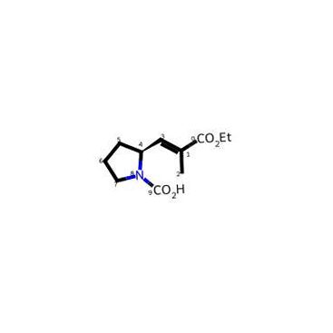 CCOC(=O)C(C)=C[C@@H]1CCCN1C(=O)O